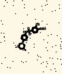 CNc1ccc(S(=O)(=O)Nc2ccc(N3C[C@@H](C)C[C@H](C)C3)nc2)cc1C#N